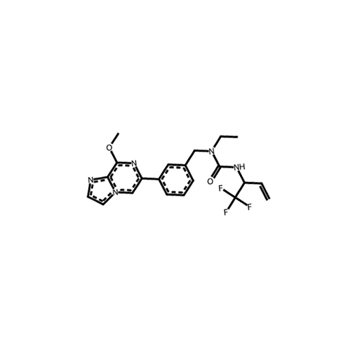 C=CC(NC(=O)N(CC)Cc1cccc(-c2cn3ccnc3c(OC)n2)c1)C(F)(F)F